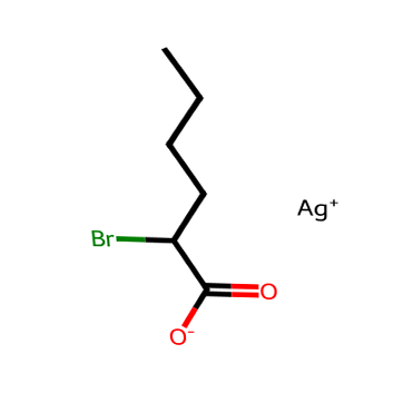 CCCCC(Br)C(=O)[O-].[Ag+]